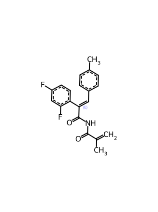 C=C(C)C(=O)NC(=O)/C(=C/c1ccc(C)cc1)c1ccc(F)cc1F